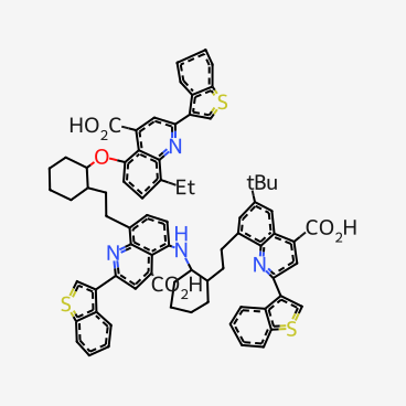 CCc1ccc(OC2CCCCC2CCc2ccc(NC3CCCCC3CCc3cc(C(C)(C)C)cc4c(C(=O)O)cc(-c5csc6ccccc56)nc34)c3c(C(=O)O)cc(-c4csc5ccccc45)nc23)c2c(C(=O)O)cc(-c3csc4ccccc34)nc12